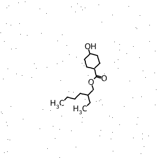 CCCCC(CC)COC(=O)C1CCC(O)CC1